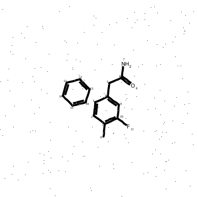 Cc1ccc(CC(N)=O)cc1F.[c]1ccccc1